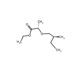 CCOC(=O)[C@H](C)OC[C@@H](C)CC